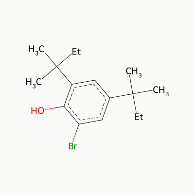 CCC(C)(C)c1cc(Br)c(O)c(C(C)(C)CC)c1